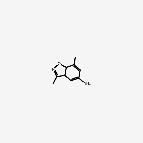 CC1=CC(N)=CC2C(C)=NOC12